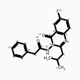 CC(C)Cc1nc2ccc(F)cc2c(=O)n1NC(=O)Cc1ccccc1